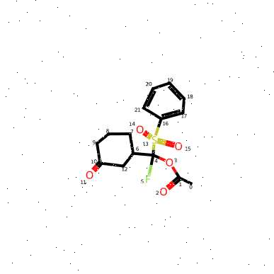 CC(=O)OC(F)(C1CCCC(=O)C1)S(=O)(=O)c1ccccc1